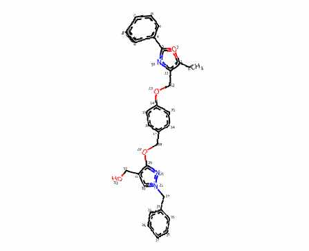 Cc1oc(-c2ccccc2)nc1COc1ccc(COc2nn(Cc3ccccc3)cc2CO)cc1